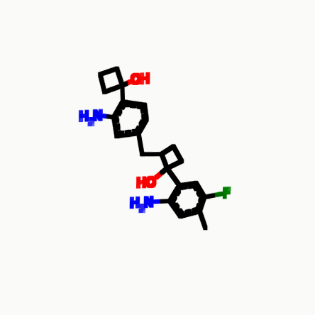 Cc1cc(N)c(C2(O)CCC2Cc2ccc(C3(O)CCC3)c(N)c2)cc1F